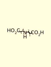 O=C(O)C=CNCCC(=O)O